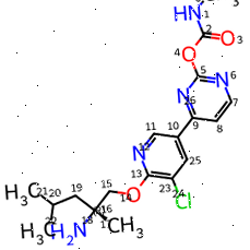 CNC(=O)Oc1nccc(-c2cnc(OC[C@](C)(N)CC(C)C)c(Cl)c2)n1